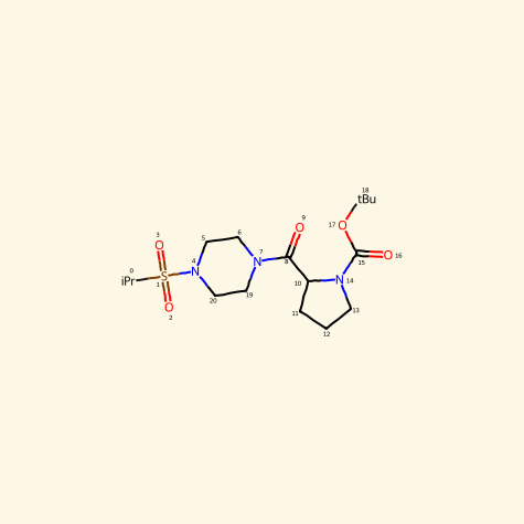 CC(C)S(=O)(=O)N1CCN(C(=O)C2CCCN2C(=O)OC(C)(C)C)CC1